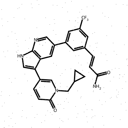 NC(=O)C=Cc1cc(-c2cnc3[nH]cc(-c4ccc(=O)n(CC5CC5)c4)c3c2)cc(C(F)(F)F)c1